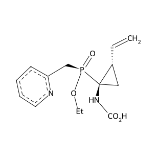 C=C[C@@H]1C[C@]1(NC(=O)O)[P@](=O)(Cc1ccccn1)OCC